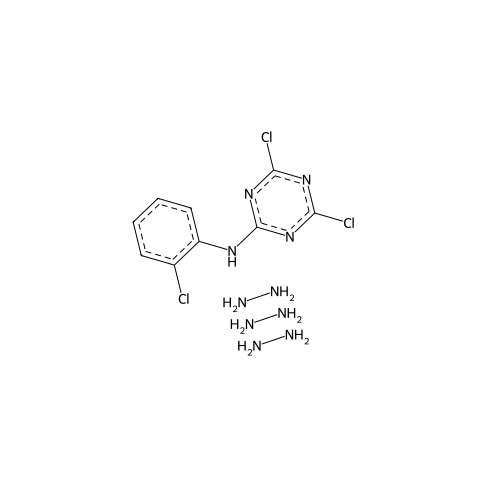 Clc1nc(Cl)nc(Nc2ccccc2Cl)n1.NN.NN.NN